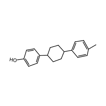 Cc1ccc(C2CCC(c3ccc(O)cc3)CC2)cc1